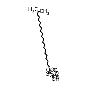 CC(C)CCCCCCCCCCCCCCCCCCCCOP1(=O)OOOP(=O)(O)O1